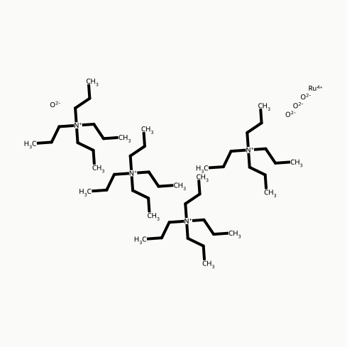 CCC[N+](CCC)(CCC)CCC.CCC[N+](CCC)(CCC)CCC.CCC[N+](CCC)(CCC)CCC.CCC[N+](CCC)(CCC)CCC.[O-2].[O-2].[O-2].[O-2].[Ru+4]